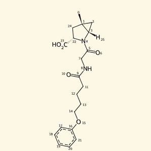 C[C@@]12C[C@@H]1N(C(=O)CNC(=O)CCCCOc1ccccc1)[C@H](C(=O)O)C2